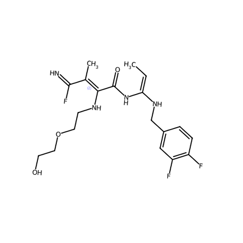 CC=C(NCc1ccc(F)c(F)c1)NC(=O)/C(NCCOCCO)=C(\C)C(=N)F